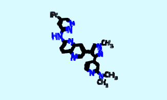 CC(C)c1cnnc(Nc2ccc3ncc(-c4cn(C)nc4-c4ccnc(N(C)C)c4)cc3n2)c1